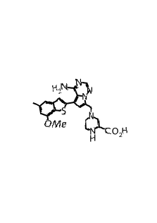 COc1cc(C)cc2cc(-c3cc(CN4CCNC(C(=O)O)C4)n4ncnc(N)c34)sc12